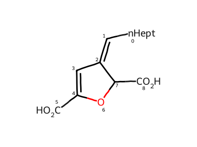 CCCCCCCC=C1C=C(C(=O)O)OC1C(=O)O